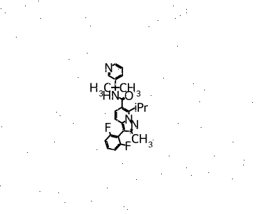 Cc1nn2c(C(C)C)c(C(=O)NC(C)(C)c3cccnc3)ccc2c1-c1c(F)cccc1F